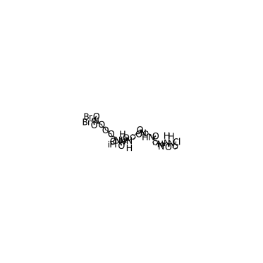 CC(C)C(NC(=O)CCOCCOCCOCCN1C(=O)C(Br)=C(Br)C1=O)C(=O)NCC(=O)Nc1ccc(COC(=O)N2CCC(CNC(=O)c3cccc(-n4cc(NC(=O)Nc5ccccc5Cl)cn4)c3)CC2)cc1